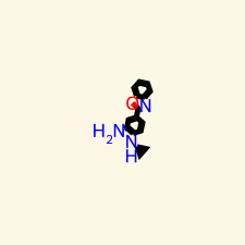 Nc1cc(-c2nc3ccccc3o2)ccc1NC1CC1